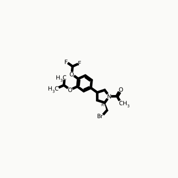 CC(=O)N1CC(c2ccc(OC(F)F)c(OC(C)C)c2)C[C@@H]1CBr